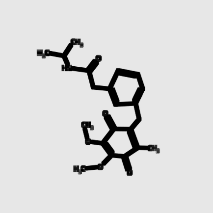 COC1=C(OC)C(=O)C(Cc2cccc(CC(=O)NC(C)C)c2)=C(C)C1=O